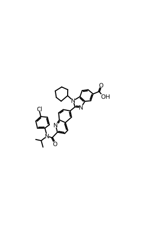 CC(C)N(C(=O)c1ccc2cc(-c3nc4cc(C(=O)O)ccc4n3C3CCCCC3)ccc2n1)c1ccc(Cl)cc1